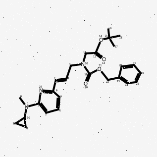 CN(c1cccc(/C=C/CN(CC(=O)OC(C)(C)C)C(=O)OCc2ccccc2)n1)C1CC1